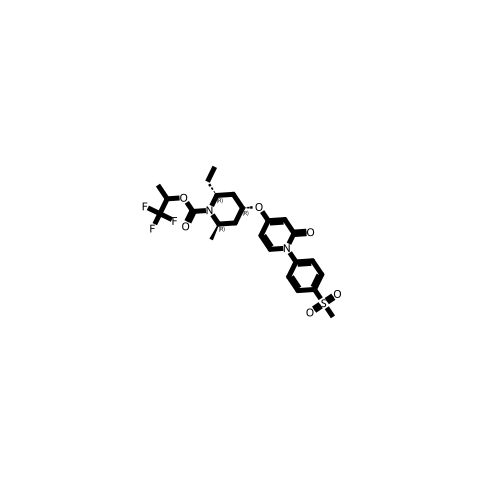 CC[C@@H]1C[C@H](Oc2ccn(-c3ccc(S(C)(=O)=O)cc3)c(=O)c2)C[C@@H](C)N1C(=O)OC(C)C(F)(F)F